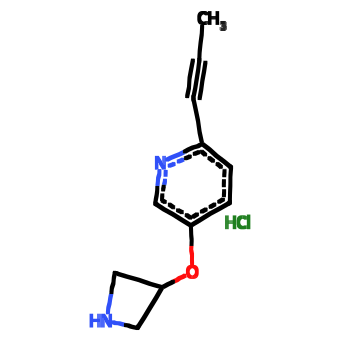 CC#Cc1ccc(OC2CNC2)cn1.Cl